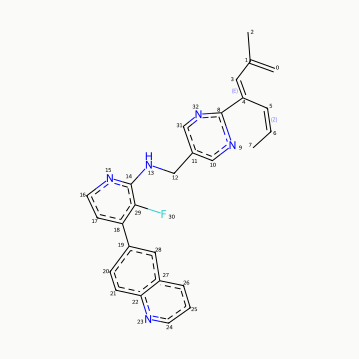 C=C(C)/C=C(\C=C/C)c1ncc(CNc2nccc(-c3ccc4ncccc4c3)c2F)cn1